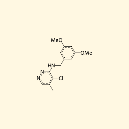 COc1cc(CNc2nncc(C)c2Cl)cc(OC)c1